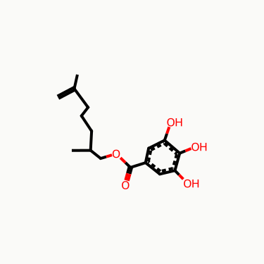 C=C(C)CCCC(C)COC(=O)c1cc(O)c(O)c(O)c1